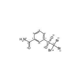 NC(=O)c1cccc(S(=O)(=O)C(Br)(Br)Br)c1